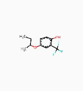 CCC(C)Oc1ccc(O)c(C(F)(F)F)c1